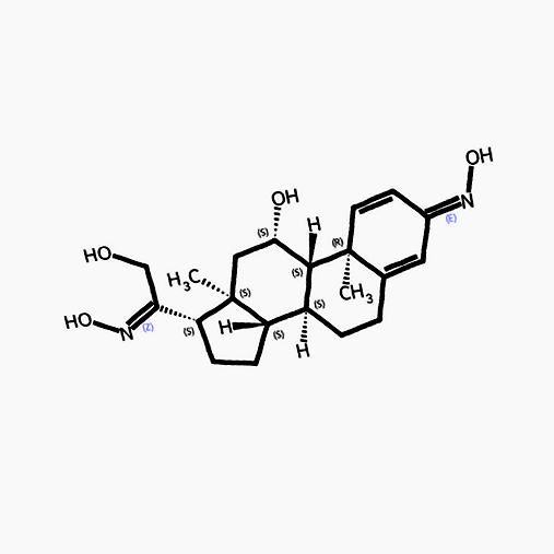 C[C@]12C[C@H](O)[C@H]3[C@@H](CCC4=C/C(=N/O)C=C[C@@]43C)[C@@H]1CC[C@@H]2/C(CO)=N/O